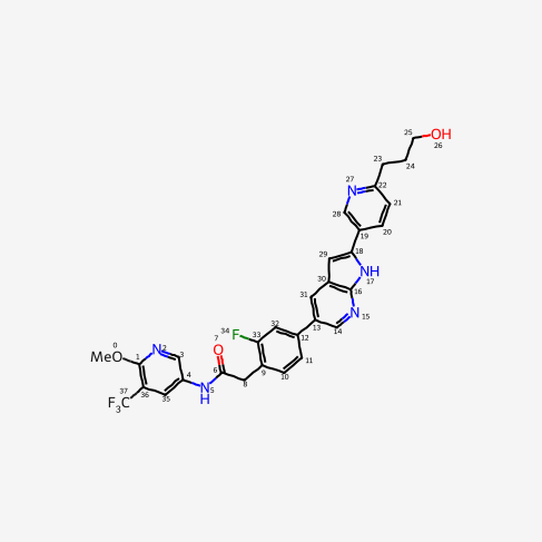 COc1ncc(NC(=O)Cc2ccc(-c3cnc4[nH]c(-c5ccc(CCCO)nc5)cc4c3)cc2F)cc1C(F)(F)F